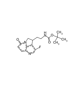 CC(C)(C)OC(=O)NCCC1Cn2c(=O)ccc3ncc(F)c1c32